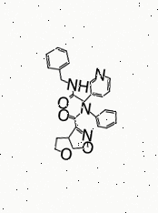 O=C(NCc1ccccc1)C(c1cccnc1)N(C(=O)C1=NOC2OCCC12)c1ccccc1